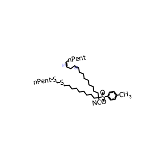 [C-]#[N+]C(CCCCCCCC/C=C\C/C=C\CCCCC)(CCCCCCCCCSCSCCCCC)S(=O)(=O)c1ccc(C)cc1